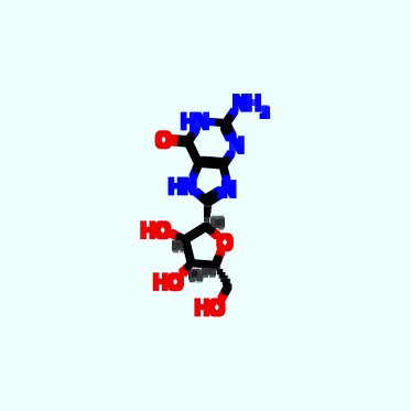 Nc1nc2nc([C@@H]3O[C@H](CO)[C@@H](O)[C@H]3O)[nH]c2c(=O)[nH]1